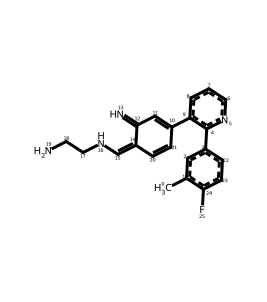 Cc1cc(-c2ncccc2C2=CC(=N)/C(=C\NCCN)C=C2)ccc1F